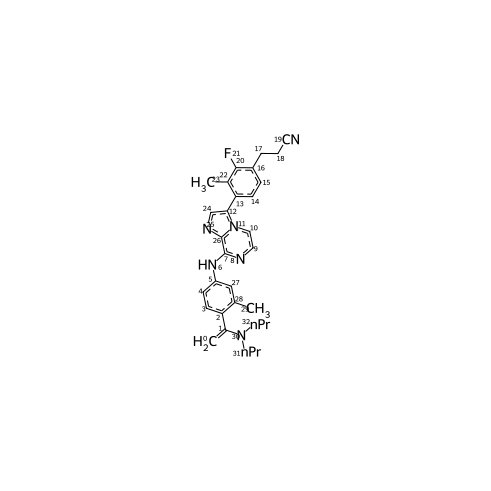 C=C(c1ccc(Nc2nccn3c(-c4ccc(CCC#N)c(F)c4C)cnc23)cc1C)N(CCC)CCC